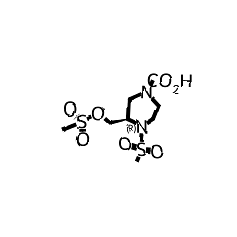 CS(=O)(=O)OC[C@H]1CN(C(=O)O)CCN1S(C)(=O)=O